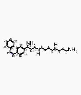 NCCCNCCCCNCCC(N)c1ccc(/C=C\c2ccccc2)cc1